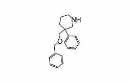 c1ccc(COCC2(c3ccccc3)CCCNC2)cc1